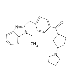 CCn1c(Cc2ccc(C(=O)N3CC[C@H](N4CCCC4)C3)cc2)nc2ccccc21